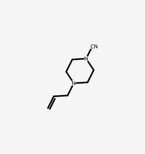 C=CCN1CCN(C#N)CC1